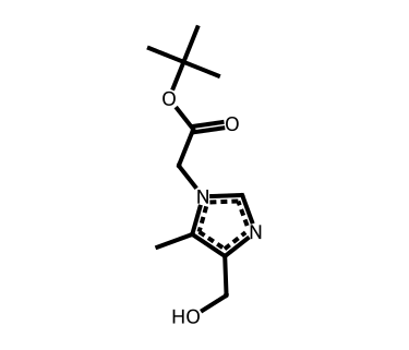 Cc1c(CO)ncn1CC(=O)OC(C)(C)C